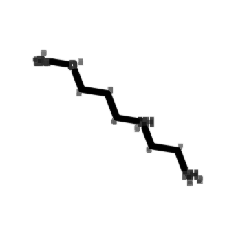 CC(C)(C)OCCCNCCN